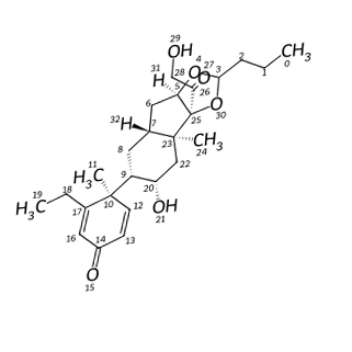 CCCC1O[C@@H]2C[C@H]3C[C@@H]([C@@]4(C)C=CC(=O)C=C4CC)[C@@H](O)C[C@]3(C)[C@]2(C(=O)CO)O1